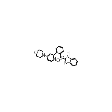 [O-][S+](c1nc2ccccc2[nH]1)c1ccccc1-c1cc(N2CCOCC2)ccn1